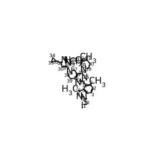 Cc1ccc2c(c(C)nn2SI)c1-c1nc2c(c(N3CCCC(C)(C)C3)n1)CN(c1cc(C3CC3)nn1C)CC2